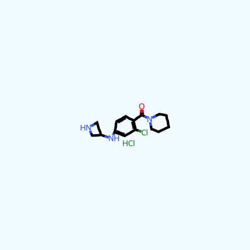 Cl.O=C(c1ccc(NC2CNC2)cc1Cl)N1CCCCC1